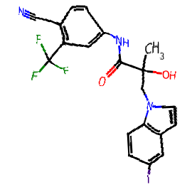 CC(O)(Cn1ccc2cc(I)ccc21)C(=O)Nc1ccc(C#N)c(C(F)(F)F)c1